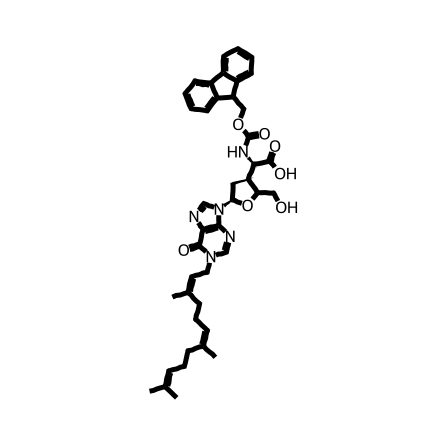 CC(C)=CCCC(C)=CCCC(C)=CCn1cnc2c(ncn2[C@H]2C[C@@H]([C@@H](NC(=O)OCC3c4ccccc4-c4ccccc43)C(=O)O)C(CO)O2)c1=O